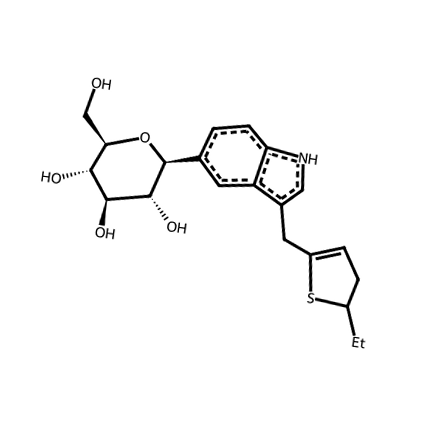 CCC1CC=C(Cc2c[nH]c3ccc([C@@H]4O[C@H](CO)[C@@H](O)[C@H](O)[C@H]4O)cc23)S1